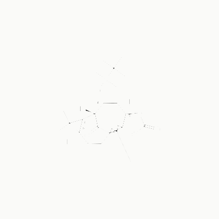 CC1=CC23C(=O)[C@@H]([C@H](O[Si](C)(C)C(C)(C)C)[C@H](C)[C@H]4OC(=O)O[C@]42[C@H]1C)[C@H]1[C@@H](C[C@H]3C)C1(C)C